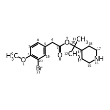 COc1ccc(CC(=O)OC(C)(C)C2CCNCC2)cc1Br